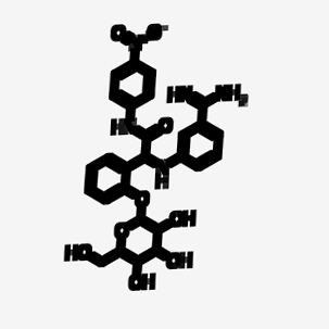 N=C(N)c1cccc(NC(C(=O)Nc2ccc([N+](=O)[O-])cc2)c2ccccc2OC2OC(CO)C(O)C(O)C2O)c1